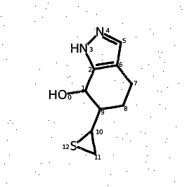 OC1c2[nH]ncc2CCC1C1CS1